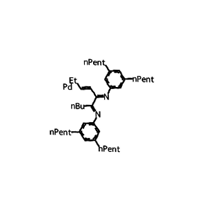 CC/C=C/C(=N\c1cc(CCCCC)cc(CCCCC)c1)C(/CCCC)=N/c1cc(CCCCC)cc(CCCCC)c1.[Pd]